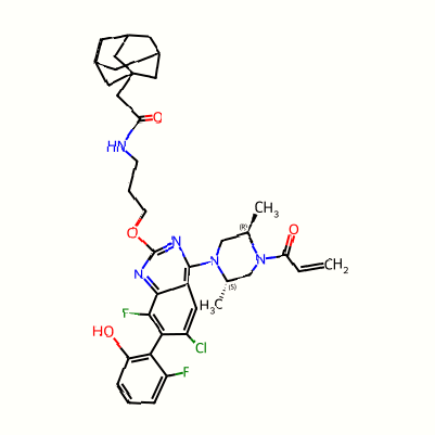 C=CC(=O)N1C[C@H](C)N(c2nc(OCCCNC(=O)CC34CC5CC(CC(C5)C3)C4)nc3c(F)c(-c4c(O)cccc4F)c(Cl)cc23)C[C@H]1C